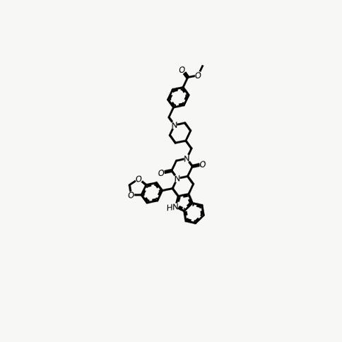 COC(=O)c1ccc(CN2CCC(CN3CC(=O)N4C(Cc5c([nH]c6ccccc56)C4c4ccc5c(c4)OCO5)C3=O)CC2)cc1